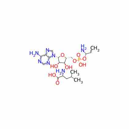 C=CC(N)OP(=O)(O)OC[C@H]1O[C@@H](n2cnc3c(N)ncnc32)[C@H](O)[C@@H]1O.CC(C)C[C@H](N)C(=O)O